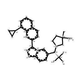 C[C@]1(N)CCN([C@@H](c2ccc3nnc(-c4ccc5cccc(C6CC6)c5n4)n3c2)C(F)(F)F)C1